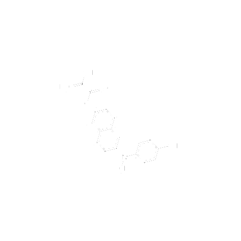 C=C(C)C(=O)Oc1ccc2cc(N(C)c3ccc(C)cc3)ccc2c1